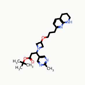 Cc1ncc(C(CC(=O)OC(C)(C)C)N2CC(OCCCc3ccc4c(n3)NCCC4)C2)cn1